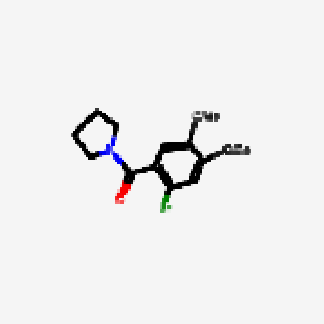 COc1cc(Br)c(C(=O)N2CCCC2)cc1OC